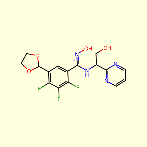 OCC(N/C(=N\O)c1cc(C2OCCO2)c(F)c(F)c1F)c1ncccn1